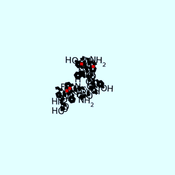 CCCC[C@@H](C(=O)N1CCC[C@@H]1C(=O)N[C@H](C=O)CC(=O)O)N(C)C(=O)[C@H](Cc1ccccc1)N(C)C(=O)[C@H](Cc1ccc(F)cc1)NC(=O)CSC[C@H](NC(=O)[C@H](CC(C)C)NC(=O)[C@H](Cc1ccc(O)cc1)NC(=O)[C@H](Cc1c[nH]c2ccccc12)NC(=O)[C@H]1CCCCN1C(=O)[C@H](Cc1ccc(O)cc1)NC(=O)[C@H](C(C)C)N(C)C(=O)[C@@H](N)C(C)C)C(=O)NCC(N)=O